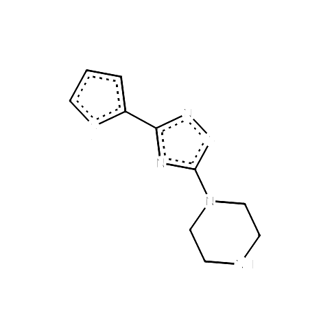 c1csc(-c2nsc(N3CCNCC3)n2)c1